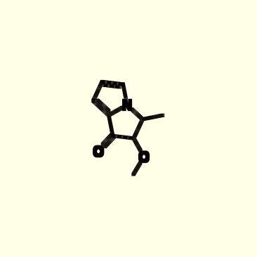 COC1C(=O)c2cccn2C1C